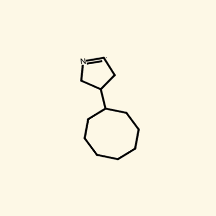 [C]1=NCC(C2CCCCCCC2)C1